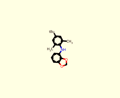 Cc1cc(C(C)(C)C)cc(C)c1Nc1cccc2c1OCO2